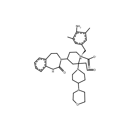 Cc1cc(C[N@+]2(C(=O)[O-])CCC(N3CCc4ccccc4NC3=O)CC2(CC=O)N2CCC(N3CCOCC3)CC2)cc(C)c1N